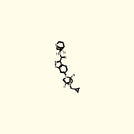 O=C(N[C@H]1CN2CCC1CC2)c1nsc2cc(N3C[C@@H]4C[C@H]3CN4CC3CC3)ccc12